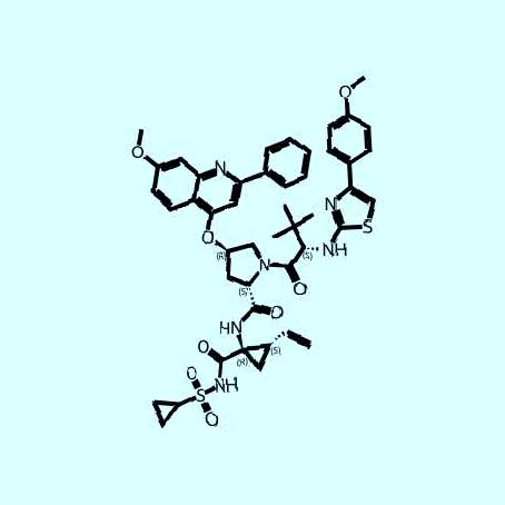 C=C[C@@H]1C[C@]1(NC(=O)[C@@H]1C[C@@H](Oc2cc(-c3ccccc3)nc3cc(OC)ccc23)CN1C(=O)[C@@H](Nc1nc(-c2ccc(OC)cc2)cs1)C(C)(C)C)C(=O)NS(=O)(=O)C1CC1